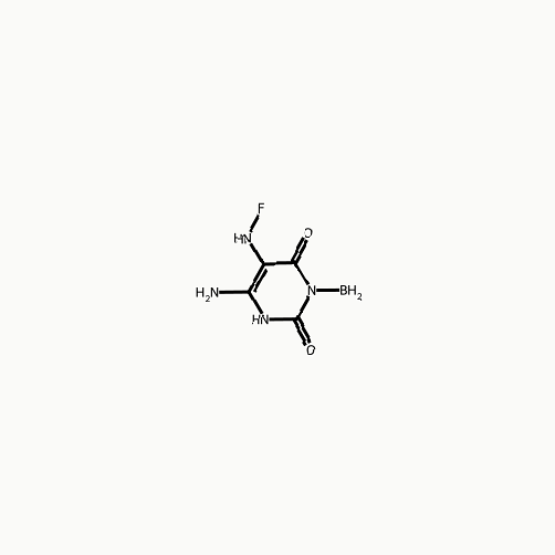 Bn1c(=O)[nH]c(N)c(NF)c1=O